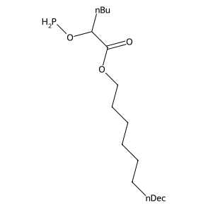 CCCCCCCCCCCCCCCCOC(=O)C(CCCC)OP